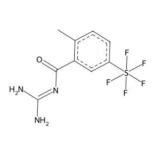 Cc1ccc(S(F)(F)(F)(F)F)cc1C(=O)N=C(N)N